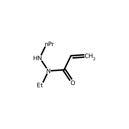 C=CC(=O)N(CC)NCCC